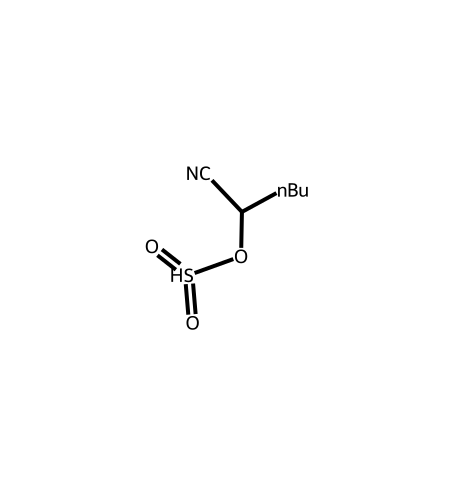 CCCCC(C#N)O[SH](=O)=O